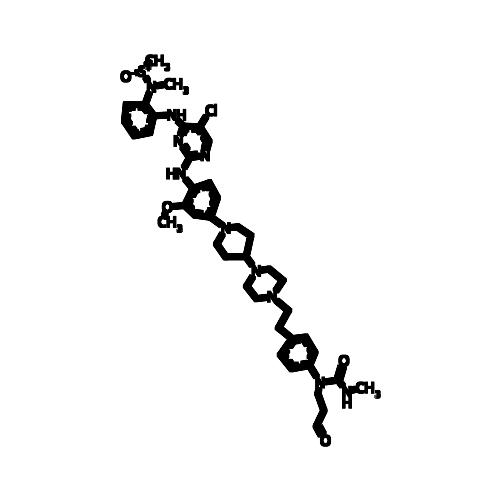 CNC(=O)N(CCC=O)c1ccc(CCN2CCN(C3CCN(c4ccc(Nc5ncc(Cl)c(Nc6ccccc6N(C)[S+](C)[O-])n5)c(OC)c4)CC3)CC2)cc1